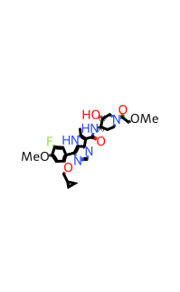 COCC(=O)N1CC[C@@H](NC(=O)c2c(C)[nH]c3c(-c4cc(F)c(OC)cc4OCC4CC4)ncnc23)[C@@H](O)C1